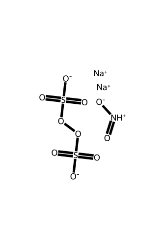 O=S(=O)([O-])OOS(=O)(=O)[O-].O=[NH+][O-].[Na+].[Na+]